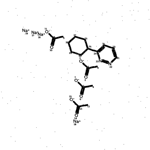 CC(=O)[O-].CC(=O)[O-].CC(=O)[O-].CC(=O)[O-].[Na+].[Na+].[Na+].[Na+].c1cnnc(C2CCCCC2)c1